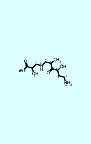 CC(C)C(=O)C(O)CNCC(C)C(=O)C(O)CCN